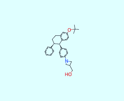 CC(C)(C)Oc1ccc2c(c1)CC[C@H](c1ccccc1)[C@@H]2c1ccc(N2CC(CO)C2)cc1